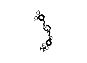 COc1ccc(CCN2CCN(CCOc3ccc(OC(F)(F)F)cc3)CC2)cc1OC